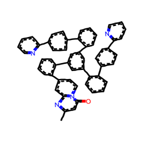 Cc1cc(=O)n2ccc(-c3ccccc3-c3cc(-c4ccccc4-c4ccc(-c5ccccn5)cc4)cc(-c4ccccc4-c4ccc(-c5ccccn5)cc4)c3)cc2n1